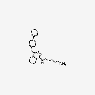 NCCCCCNC(=O)C1CCCCN1C(=O)Cc1ccc(-c2ccccc2)cc1